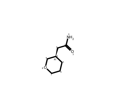 NC(=O)C[C@H]1CCCOC1